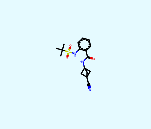 CC(C)(C)S(=O)(=O)Nc1ccccc1C(=O)NC12CC(C#N)(C1)C2